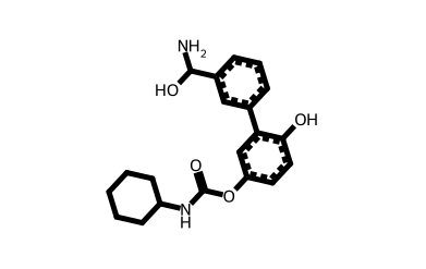 NC(O)c1cccc(-c2cc(OC(=O)NC3CCCCC3)ccc2O)c1